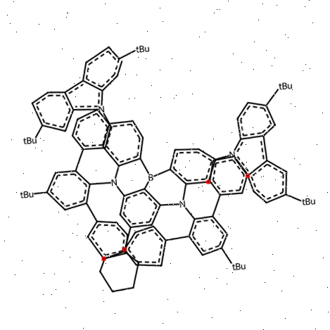 CC(C)(C)c1cc(-c2ccccc2)c(N2c3cc(-n4c5ccc(C(C)(C)C)cc5c5cc(C(C)(C)C)ccc54)ccc3B3c4ccc(-n5c6cc(C(C)(C)C)ccc6c6ccc(C(C)(C)C)cc65)cc4N(c4c(-c5ccccc5)cc(C(C)(C)C)cc4-c4ccccc4)c4cc(C5CCCCC5)cc2c43)c(-c2ccccc2)c1